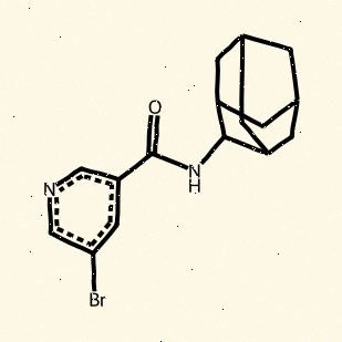 O=C(NC1C2CC3CC(C2)CC1C3)c1cncc(Br)c1